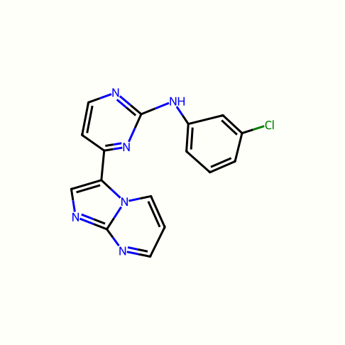 Clc1cccc(Nc2nccc(-c3cnc4ncccn34)n2)c1